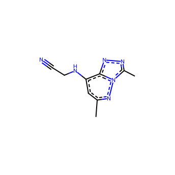 Cc1cc(NCC#N)c2nnc(C)n2n1